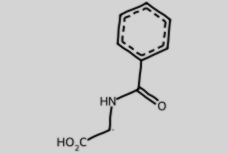 O=C(O)[CH]NC(=O)c1ccccc1